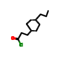 CCCC1CCC(CCC(=O)Cl)CC1